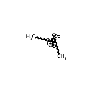 CCCCCCCCOC(=O)c1cccc(CCCCCCCC)c1C(=O)[O-].[Li+].[O]=[Co]